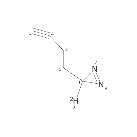 [2H]C1(CCC#C)N=N1